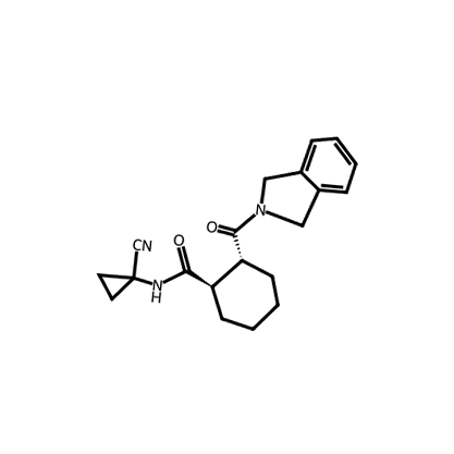 N#CC1(NC(=O)[C@@H]2CCCC[C@H]2C(=O)N2Cc3ccccc3C2)CC1